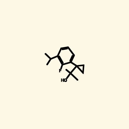 CC(C)c1cccc(C2(C(C)(C)O)CC2)c1F